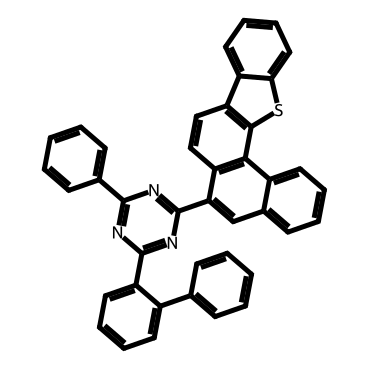 c1ccc(-c2nc(-c3ccccc3-c3ccccc3)nc(-c3cc4ccccc4c4c3ccc3c5ccccc5sc34)n2)cc1